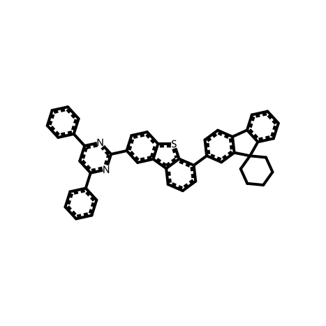 c1ccc(-c2cc(-c3ccccc3)nc(-c3ccc4sc5c(-c6ccc7c(c6)C6(CCCCC6)c6ccccc6-7)cccc5c4c3)n2)cc1